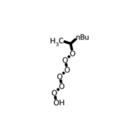 CCCCC(C)OOOOOOO